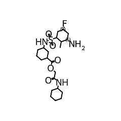 CC1C(S(=O)(=O)NC2CCCC(C(=O)OCC(=O)NC3CCCCC3)C2)C[C@H](F)C[C@@H]1N